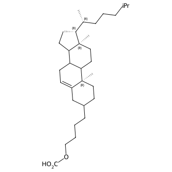 CC(C)CCC[C@@H](C)[C@H]1CCC2C3CC=C4CC(CCCCOC(=O)O)CC[C@]4(C)C3CC[C@@]21C